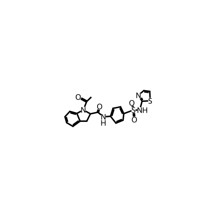 CC(=O)N1c2ccccc2CC1C(=O)Nc1ccc(S(=O)(=O)Nc2nccs2)cc1